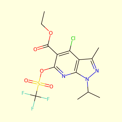 CCOC(=O)c1c(OS(=O)(=O)C(F)(F)F)nc2c(c(C)nn2C(C)C)c1Cl